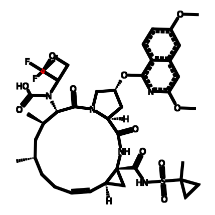 COc1ccc2c(O[C@@H]3C[C@H]4C(=O)N[C@]5(C(=O)NS(=O)(=O)C6(C)CC6)C[C@H]5/C=C\CC[C@H](C)C[C@@H](C)[C@H](N(C(=O)O)C5(C(F)(F)F)COC5)C(=O)N4C3)nc(OC)cc2c1